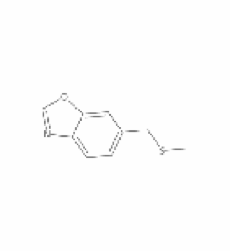 CSCc1ccc2ncoc2c1